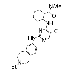 CCN1CCc2ccc(Nc3ncc(Cl)c(NC4CCCCC4C(=O)NC)n3)cc2CC1